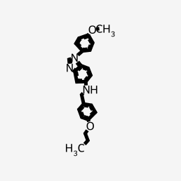 CCCOc1ccc(CNc2ccc3c(c2)ncn3-c2ccc(OC)cc2)cc1